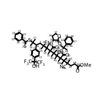 CCC(C)(CC(c1ccc(C(O)(C(F)(F)F)C(F)(F)F)cc1)C(C)(C)SC(=S)c1ccccc1)C(C)(C)C(C)(C(=O)OC1CCOC1=O)C(C)(C)C(C)(CC)C(C)(C(=O)OC(C)(C)c1ccccc1)C(C)(C)C(C)(C#N)CCC(=O)OC